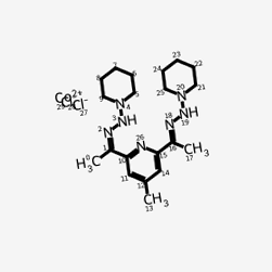 CC(=NNN1CCCCC1)c1cc(C)cc(C(C)=NNN2CCCCC2)n1.[Cl-].[Cl-].[Co+2]